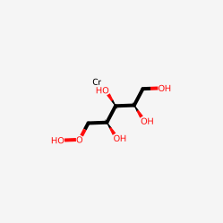 OC[C@@H](O)[C@H](O)[C@@H](O)COO.[Cr]